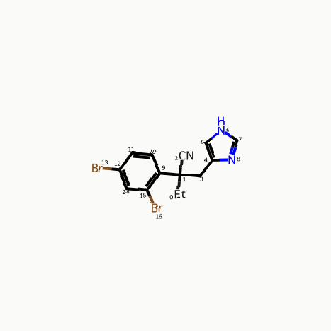 CCC(C#N)(Cc1c[nH]cn1)c1ccc(Br)cc1Br